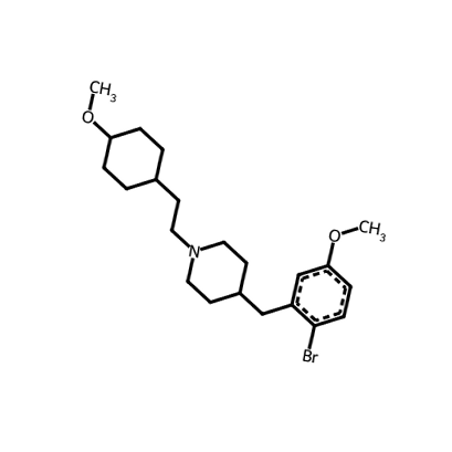 COc1ccc(Br)c(CC2CCN(CCC3CCC(OC)CC3)CC2)c1